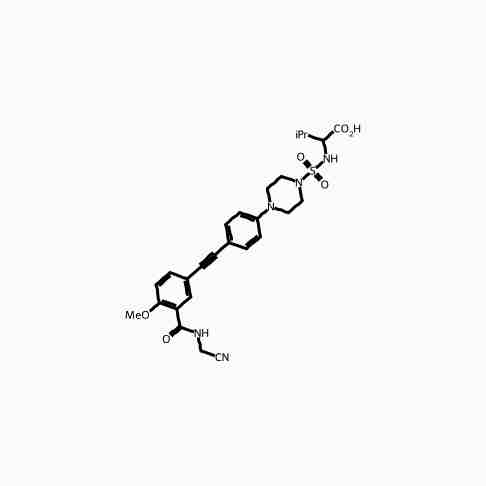 COc1ccc(C#Cc2ccc(N3CCN(S(=O)(=O)NC(C(=O)O)C(C)C)CC3)cc2)cc1C(=O)NCC#N